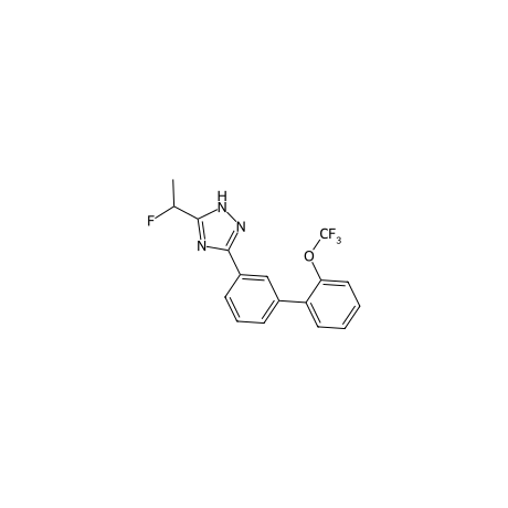 CC(F)c1nc(-c2cccc(-c3ccccc3OC(F)(F)F)c2)n[nH]1